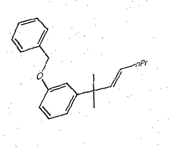 CCCC=CC(C)(C)c1cccc(OCc2ccccc2)c1